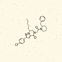 CCCCCC1CN(CC(=O)N2CCCCC2Cc2ccccc2)C(=O)c2cc(-c3ccc(Cl)cc3)nn21